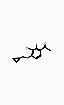 CC(=O)c1ccc(OCC2CC2)c(Cl)c1F